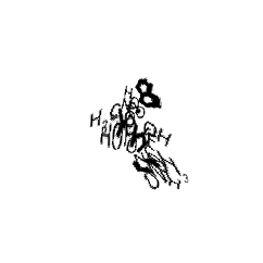 C[C@H](N[P@@](=O)(OC[C@@]1(F)O[C@@H](n2ccc(=O)[nH]c2=O)[C@](C)(F)[C@@H]1O)Oc1cccc2ccccc12)C(=O)O